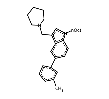 CCCCCCCCn1cc(CN2CCCCC2)c2cc(-c3cccc(C)c3)ccc21